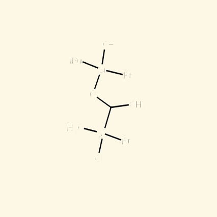 CCC(C)[Si](C)(CC)OC(C)[Si](C)(C)CC